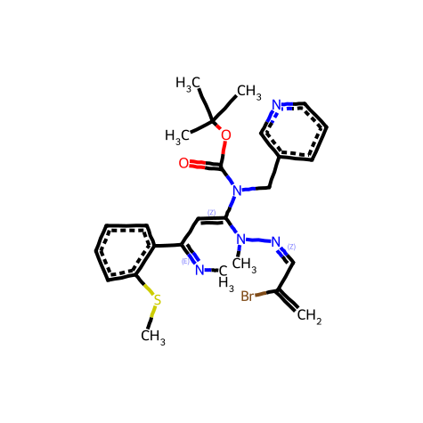 C=C(Br)/C=N\N(C)/C(=C\C(=N/C)c1ccccc1SC)N(Cc1cccnc1)C(=O)OC(C)(C)C